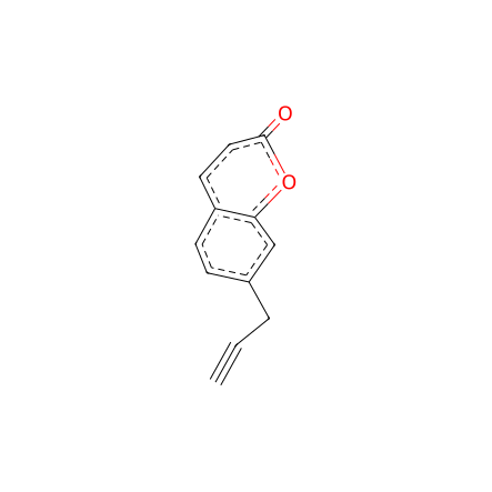 C#CCc1ccc2ccc(=O)oc2c1